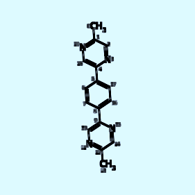 Cc1cnc(-c2ccc(-c3cnc(C)cn3)cc2)cn1